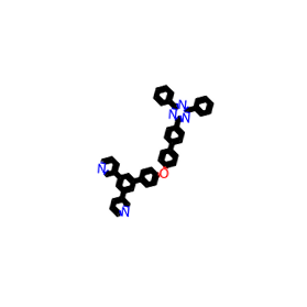 c1ccc(-c2nc(-c3ccccc3)nc(-c3ccc(-c4ccc(Oc5ccc(-c6cc(-c7cccnc7)cc(-c7cccnc7)c6)cc5)cc4)cc3)n2)cc1